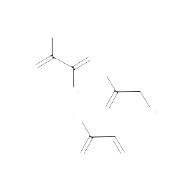 O=C(O)C(=O)O.O=C(O)CO.O=CC(=O)O